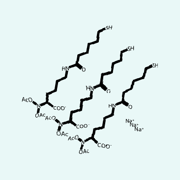 CC(=O)ON(OC(C)=O)C(CCCCNC(=O)CCCCCS)C(=O)[O-].CC(=O)ON(OC(C)=O)C(CCCCNC(=O)CCCCCS)C(=O)[O-].CC(=O)ON(OC(C)=O)C(CCCCNC(=O)CCCCCS)C(=O)[O-].[Na+].[Na+].[Na+]